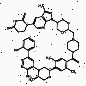 Cc1cc([C@@H]2CN(c3cc(-c4ccccc4O)nnc3N)[C@H](C)CO2)c(C)cc1C(=O)N1CCN(CC2OCC(n3cc(C)c4cc(N5CCC(=O)NC5=O)cnc43)CO2)CC1